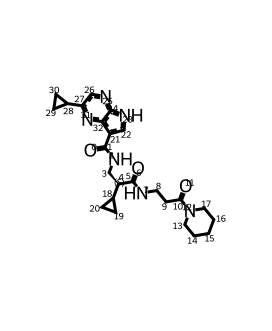 O=C(NC[C@@H](C(=O)NCCC(=O)N1CCCCC1)C1CC1)c1c[nH]c2ncc(C3CC3)nc12